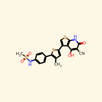 Cc1cc(-c2csc3[nH]c(=O)c(C#N)c(O)c23)sc1-c1ccc(NS(C)(=O)=O)cc1